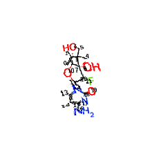 C=C(C)C(C)(CO)[C@]1(O)CO[C@@H](n2ccc(N)nc2=O)[C@@H]1F